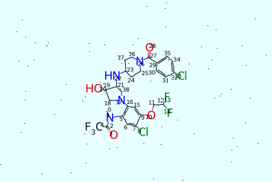 CN(C(=O)C(F)(F)F)c1cc(Cl)c(OCC(F)F)cc1N1CC(O)C(NC2CCN(C(=O)c3ccc(Cl)cc3)CC2)C1